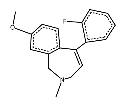 COc1ccc2c(c1)CN(C)CC=C2c1ccccc1F